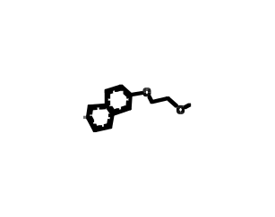 COCCOc1ccc2c[c]ccc2c1